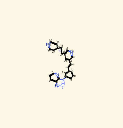 Nc1cccnc1Nc1cccc(C=Cc2cncc(/C=C/c3ccncc3)c2)c1